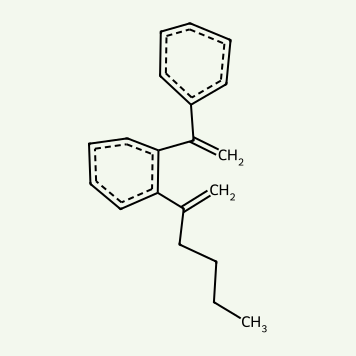 C=C(CCCC)c1ccccc1C(=C)c1ccccc1